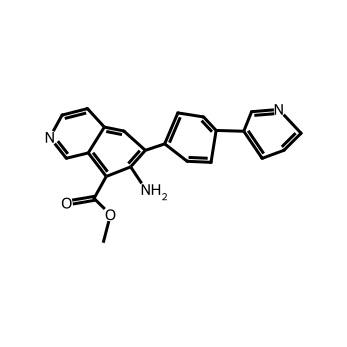 COC(=O)c1c(N)c(-c2ccc(-c3cccnc3)cc2)cc2ccncc12